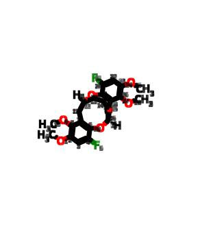 COc1cc(F)c2c(c1OC)C[C@H]1CCC[C@H](Cc3c(c(F)cc(OC)c3OC)O1)O2